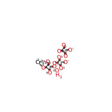 O.[Cr+3].[Cr+3].[O]=[Cr](=[O])([O-])[O-].[O]=[Cr](=[O])([O-])[O-].[O]=[Cr](=[O])([O-])[O-]